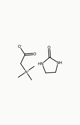 C[N+](C)(C)CC(=O)[O-].O=C1NCCN1